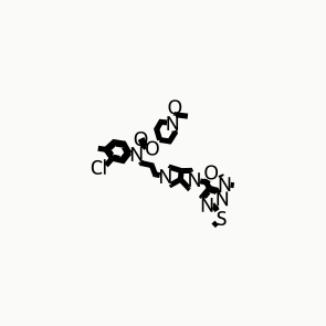 CSc1ncc(C(=O)N2CC3CN(CCCN(C(=O)OC4CCN(C(C)=O)CC4)c4ccc(C)c(Cl)c4)CC3C2)c(N(C)C)n1